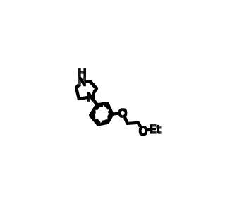 CCOCCOc1cccc(N2CCNCC2)c1